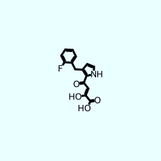 O=C(O)C(O)=CC(=O)c1[nH]ccc1Cc1ccccc1F